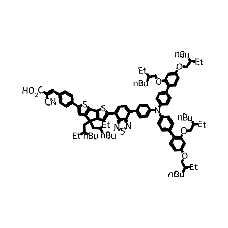 CCCCC(CC)COc1ccc(-c2ccc(N(c3ccc(-c4ccc(OCC(CC)CCCC)cc4OCC(CC)CCCC)cc3)c3ccc(-c4ccc(-c5cc6c(s5)-c5sc(-c7ccc(/C=C(\C#N)C(=O)O)cc7)cc5C6(CC(CC)CCCC)CC(CC)CCCC)c5nsnc45)cc3)cc2)c(OCC(CC)CCCC)c1